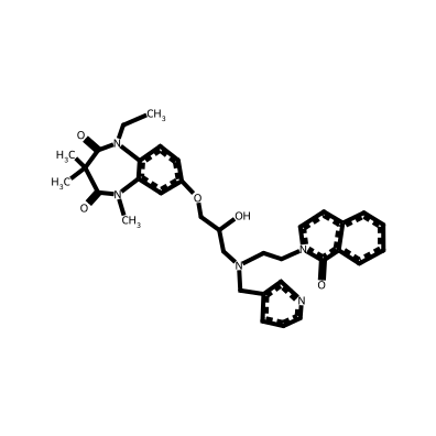 CCN1C(=O)C(C)(C)C(=O)N(C)c2cc(OCC(O)CN(CCn3ccc4ccccc4c3=O)Cc3cccnc3)ccc21